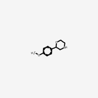 COc1ccc(C2CNCCO2)cc1